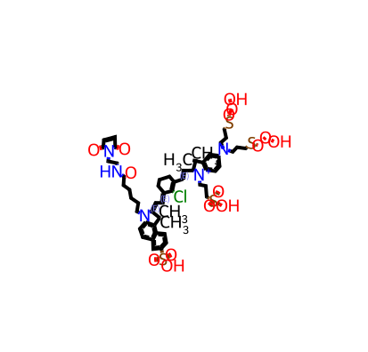 CC1(C)C(/C=C/C2=C(Cl)C(=C/C=C3/N(CCCCCC(=O)NCCN4C(=O)C=CC4=O)c4ccc5cc(S(=O)(=O)O)ccc5c4C3(C)C)/CCC2)=[N+](CCCS(=O)(=O)O)c2ccc(N(CCCSOOO)CCCSOOO)cc21